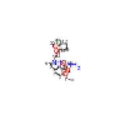 CCOc1ccc(CC(C)NCCOC2C=CC=CC2(F)OC)cc1S(N)(=O)=O